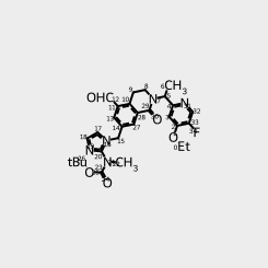 CCOc1cc(C(C)N2CCc3c(C=O)cc(Cn4ccnc4N(C)C(=O)OC(C)(C)C)cc3C2=O)ncc1F